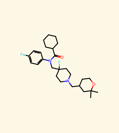 CC1(C)CC(CN2CCC(F)(CN(C(=O)C3CCCCC3)c3ccc(F)cc3)CC2)CCO1